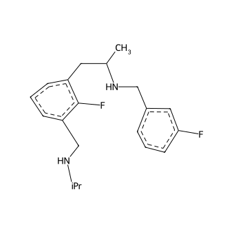 CC(C)NCc1cccc(CC(C)NCc2cccc(F)c2)c1F